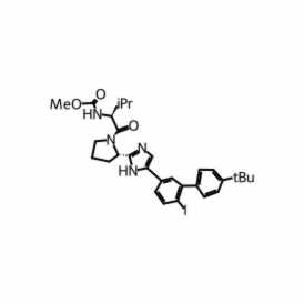 COC(=O)N[C@H](C(=O)N1CCC[C@H]1c1ncc(-c2ccc(I)c(-c3ccc(C(C)(C)C)cc3)c2)[nH]1)C(C)C